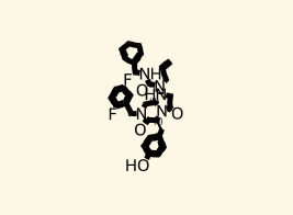 C=CCN(C(=O)NCC1=CCCC=C1)N1CC(=O)N2[C@@H](Cc3ccc(O)cc3)C(=O)N(Cc3cc(F)ccc3F)C[C@@H]21